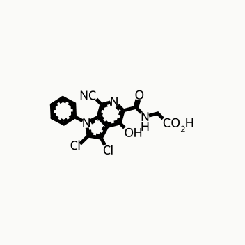 N#Cc1nc(C(=O)NCC(=O)O)c(O)c2c(Cl)c(Cl)n(-c3ccccc3)c12